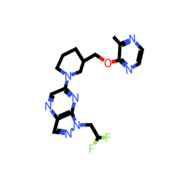 Cc1nccnc1OCC1CCCN(c2cnc3cnn(CC(F)F)c3n2)C1